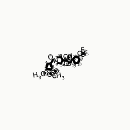 COc1ccc(C(=O)N2CCC(C(C)(C)S(=O)(=O)c3cccc(OC(F)(F)F)c3)CC2)cc1S(C)(=O)=O